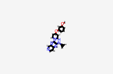 COc1cccc(OC2CCN(c3nc4cnccc4nc3NC3CC3)CC2)c1